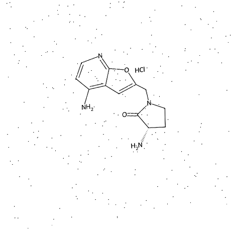 Cl.Nc1ccnc2oc(CN3CC[C@H](N)C3=O)cc12